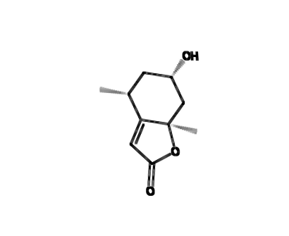 C[C@@H]1C[C@H](O)C[C@@]2(C)OC(=O)C=C12